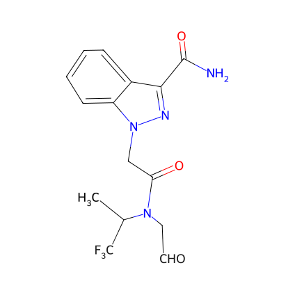 CC(N(CC=O)C(=O)Cn1nc(C(N)=O)c2ccccc21)C(F)(F)F